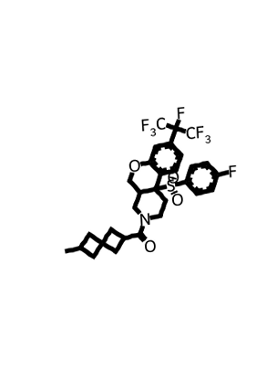 CC1CC2(C1)CC(C(=O)N1CCC3(S(=O)(=O)c4ccc(F)cc4)c4ccc(C(F)(C(F)(F)F)C(F)(F)F)cc4OCC3C1)C2